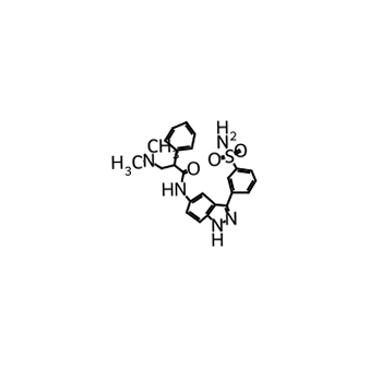 CN(C)CC(C(=O)Nc1ccc2[nH]nc(-c3cccc(S(N)(=O)=O)c3)c2c1)c1ccccc1